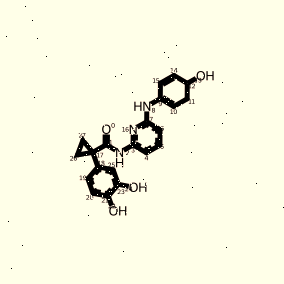 O=C(Nc1cccc(NC2=CCC(O)C=C2)n1)C1(c2ccc(O)c(O)c2)CC1